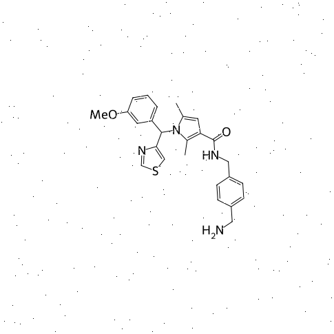 COc1cccc(C(c2cscn2)n2c(C)cc(C(=O)NCc3ccc(CN)cc3)c2C)c1